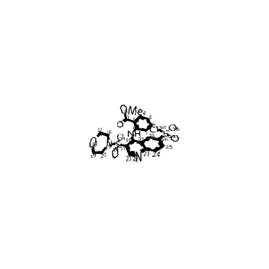 COC(=O)c1ccccc1Nc1c(S(=O)(=O)N2CCOCC2)cnc2ccc(S(=O)(=O)Cl)cc12